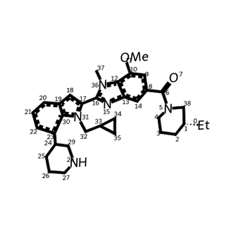 CC[C@@H]1CCCN(C(=O)c2cc(OC)c3c(c2)nc(-c2cc4cccc(C5CCCNC5)c4n2CC2CC2)n3C)C1